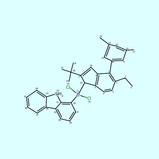 CCc1ccc2c(c1-c1cc(C)cc(C)c1)C=C(C(C)(C)C)[CH]2[Zr]([Cl])([Cl])[c]1cccc2c1[SiH2]c1ccccc1-2